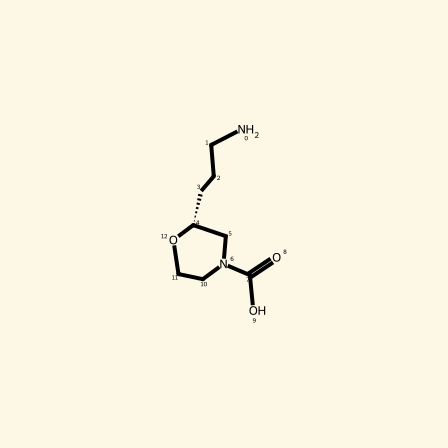 NCCC[C@@H]1CN(C(=O)O)CCO1